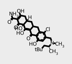 C[C@H](CC(C)(C)C)N(C)Cc1cc(O)c2c(c1Cl)CC1C[C@H]3CC(O)=C(C(N)=O)C(=O)[C@@]3(O)C(O)=C1C2=O